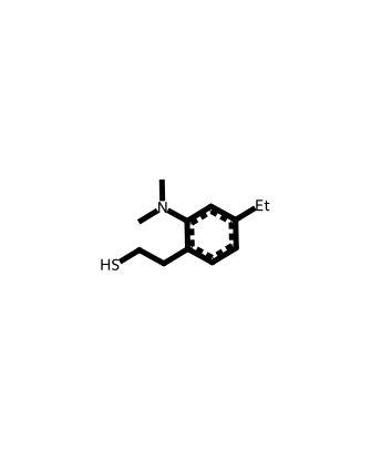 CCc1ccc(CCS)c(N(C)C)c1